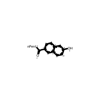 CCCCCC(=O)c1ccc2cc(O)ccc2c1